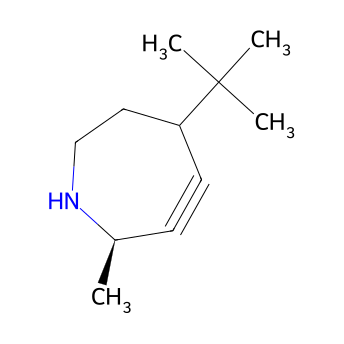 C[C@@H]1C#CC(C(C)(C)C)CCN1